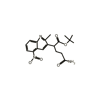 Cc1nc2cccc([N+](=O)[O-])c2cc1C(CCC(N)=O)C(=O)OC(C)(C)C